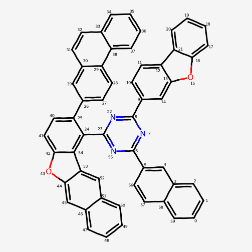 c1ccc2cc(-c3nc(-c4ccc5c(c4)oc4ccccc45)nc(-c4c(-c5ccc6c(ccc7ccccc76)c5)ccc5oc6cc7ccccc7cc6c45)n3)ccc2c1